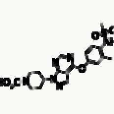 Cc1cc(Oc2ncnc3c2cnn3C2CCN(C(=O)O)CC2)ccc1NS(C)(=O)=O